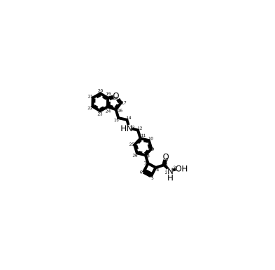 O=C(NO)C1C#CC1c1ccc(CNCCc2coc3ccccc23)cc1